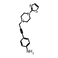 Nc1ccc(C#CCN2CCN(c3nccs3)CC2)cc1